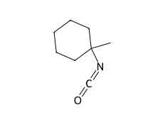 CC1(N=C=O)CCCCC1